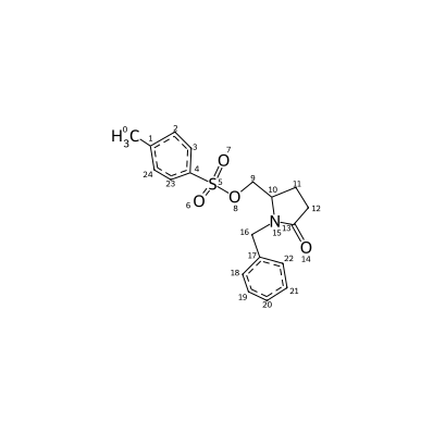 Cc1ccc(S(=O)(=O)OCC2CCC(=O)N2Cc2ccccc2)cc1